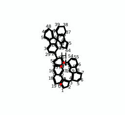 C1=CCC(c2cccc3c2Cc2c(N/C=C/C=C4/C=CCC/C4=C/c4ccc(-c5ccc6c(c5)C5(C7=C(CCC=C7)C7=C5CC=C7)c5ccccc5-6)cc4)cccc2-3)=C1